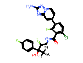 [2H]C([2H])([2H])C(O)(c1ccc(F)cc1)C(F)CNC(=O)c1c(Cl)ccc(-c2ccn3nc(N)nc3c2)c1F